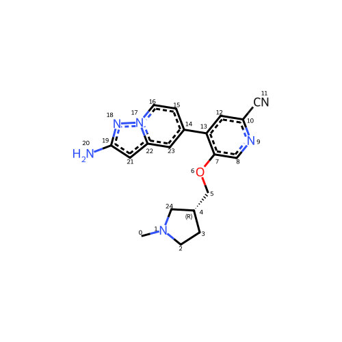 CN1CC[C@@H](COc2cnc(C#N)cc2-c2ccn3nc(N)cc3c2)C1